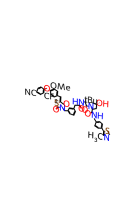 COc1cc(/C=C2\SC(=O)N(Cc3cccc(CC(=O)N[C@H](C(=O)N4C[C@H](O)CC4C(=O)NCc4ccc(-c5scnc5C)cc4)C(C)(C)C)c3)C2=O)ccc1Oc1ccc(C#N)cc1C(F)(F)F